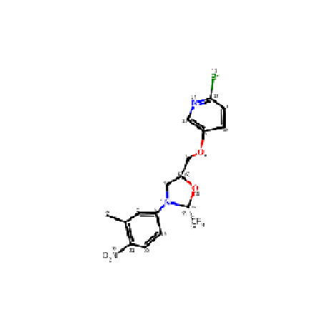 Cc1cc(N2C[C@@H](COc3ccc(Br)nc3)O[C@@H]2C(F)(F)F)ccc1[N+](=O)[O-]